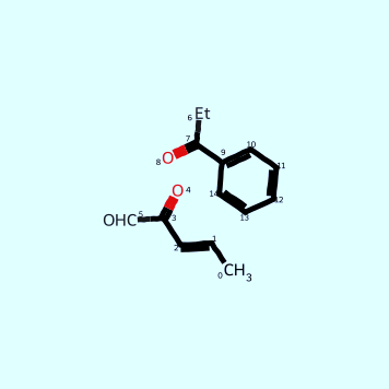 CC=CC(=O)C=O.CCC(=O)c1ccccc1